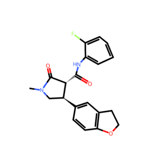 CN1C[C@H](c2ccc3c(c2)CCO3)[C@@H](C(=O)Nc2ccccc2F)C1=O